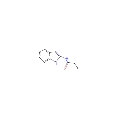 CC(=O)CC(=O)Nc1nc2ccccc2[nH]1